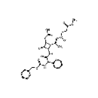 COC(=O)CC[S+]([O-])C=C(C)C1C(NC(=O)C(NC(=O)OCc2ccccc2)c2ccccc2)C(=O)N1CC(=O)O